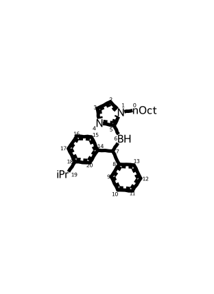 CCCCCCCCn1ccnc1BC(c1ccccc1)c1cccc(C(C)C)c1